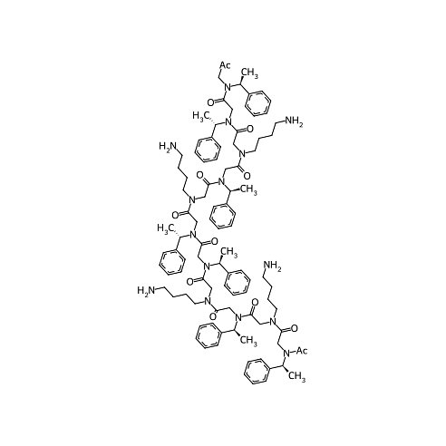 CC(=O)CN(C(=O)CN(C(=O)CN(CCCCN)C(=O)CN(C(=O)CN(CCCCN)C(=O)CN(C(=O)CN(C(=O)CN(CCCCN)C(=O)CN(C(=O)CN(CCCCN)C(=O)CN(C(C)=O)[C@@H](C)c1ccccc1)[C@@H](C)c1ccccc1)[C@@H](C)c1ccccc1)[C@@H](C)c1ccccc1)[C@@H](C)c1ccccc1)[C@@H](C)c1ccccc1)[C@@H](C)c1ccccc1